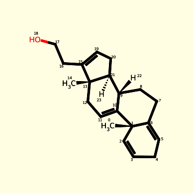 C[C@]12C=CCC=C1CC[C@@H]1C2=CC[C@]2(C)C(CCO)=CC[C@@H]12